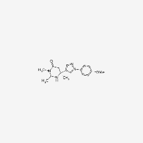 COc1ccc(-n2cc([C@]3(C)CC(=O)N(C)C(C)N3)cn2)cc1